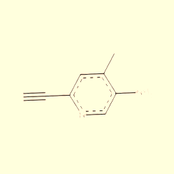 C#Cc1cc(C)c(N)cn1